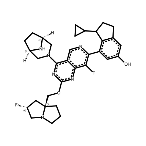 Oc1cc2c(c(-c3ncc4c(N5C[C@H]6CC[C@@H](C5)N6)nc(OC[C@@]56CCCN5C[C@H](F)C6)nc4c3F)c1)C(C1CC1)CC2